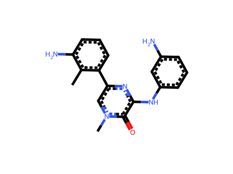 Cc1c(N)cccc1-c1cn(C)c(=O)c(Nc2cccc(N)c2)n1